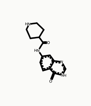 O=C(Nc1ccc2c(=O)[nH]cnc2c1)C1CCNCC1